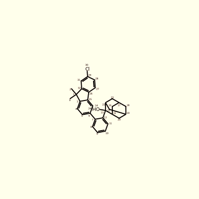 CC1(C)c2ccc(-c3ccccc3C3(O)C4CC5CC(C4)CC3C5)cc2-c2ccc(Cl)cc21